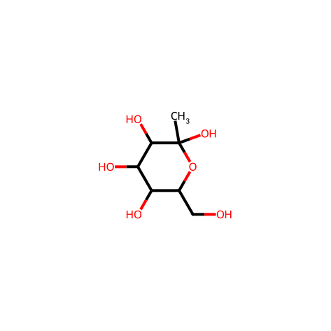 CC1(O)OC(CO)C(O)C(O)C1O